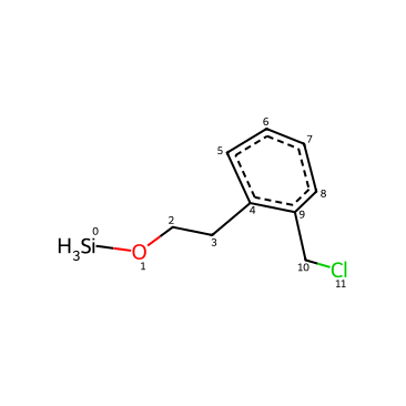 [SiH3]OCCc1ccccc1CCl